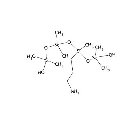 C[Si](C)(O)O[Si](C)(C)O[Si](C)(CCCN)O[Si](C)(C)O